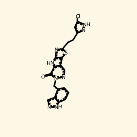 O=c1c2[nH]c3nc(CCc4cc(Cl)[nH]n4)sc3c2cnn1Cc1cccc2[nH]ncc12